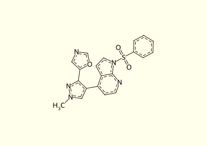 Cn1cc(-c2ccnc3c2ccn3S(=O)(=O)c2ccccc2)c(-c2cnco2)n1